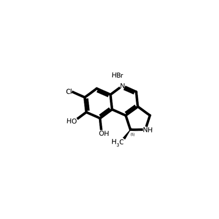 Br.C[C@@H]1NCc2cnc3cc(Cl)c(O)c(O)c3c21